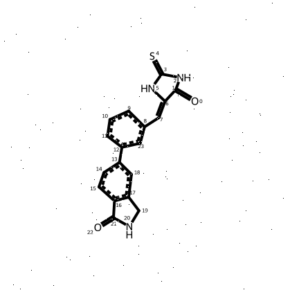 O=C1NC(=S)N/C1=C\c1cccc(-c2ccc3c(c2)CNC3=O)c1